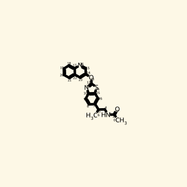 CC(=O)NCC(C)c1ccc2nc(Oc3cnc4ccccc4c3)sc2c1